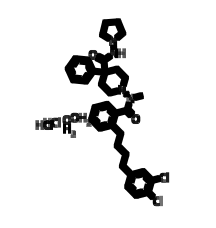 CN(C(=O)c1ccccc1CCCCc1ccc(Cl)c(Cl)c1)N1CCC(C(=O)NN2CCCC2)(c2ccccc2)CC1.Cl.Cl.O.O